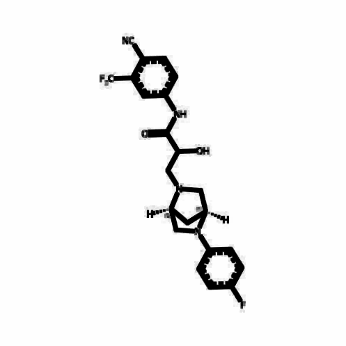 N#Cc1ccc(NC(=O)C(O)CN2C[C@@H]3C[C@H]2CN3c2ccc(F)cc2)cc1C(F)(F)F